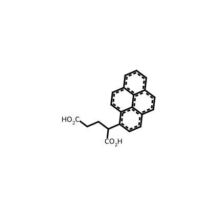 O=C(O)CCC(C(=O)O)c1ccc2ccc3cccc4ccc1c2c34